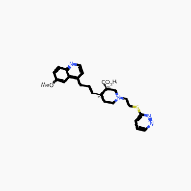 COc1ccc2nccc(CCC[C@@H]3CCN(CCSc4cccnn4)C[C@@H]3C(=O)O)c2c1